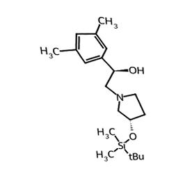 Cc1cc(C)cc([C@@H](O)CN2CC[C@H](O[Si](C)(C)C(C)(C)C)C2)c1